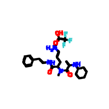 CC(NC1CCCCC1)C(=O)N(C)C(CCCN)C(=O)NCCc1ccccc1.O=C(O)C(F)(F)F